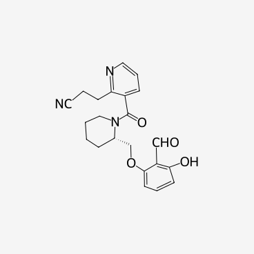 N#CCCc1ncccc1C(=O)N1CCCC[C@H]1COc1cccc(O)c1C=O